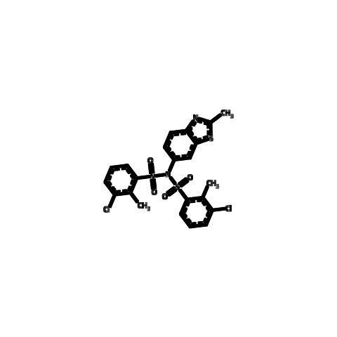 Cc1nc2ccc(N(S(=O)(=O)c3cccc(Cl)c3C)S(=O)(=O)c3cccc(Cl)c3C)cc2s1